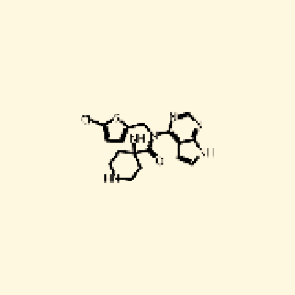 NC1(C(=O)N(Cc2ccc(Cl)s2)c2ncnc3[nH]ccc23)CCNCC1